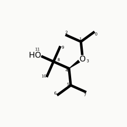 CC(C)O[C@@H](C(C)C)C(C)(C)O